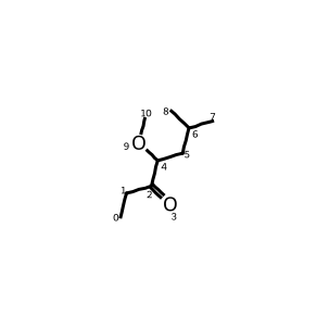 CCC(=O)C(CC(C)C)OC